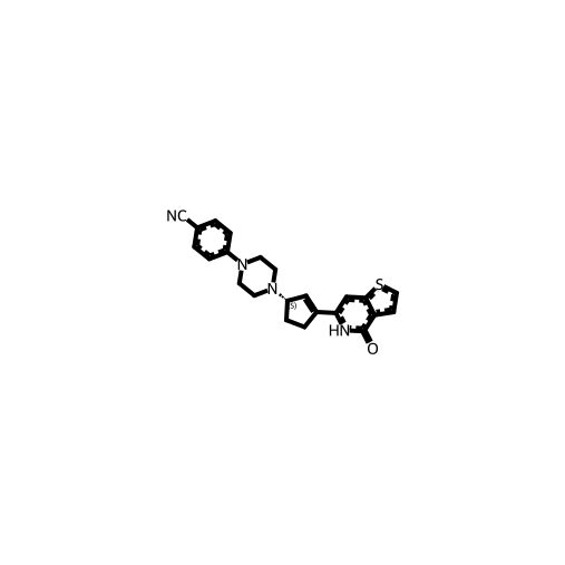 N#Cc1ccc(N2CCN([C@@H]3C=C(c4cc5sccc5c(=O)[nH]4)CC3)CC2)cc1